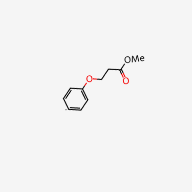 COC(=O)CCOc1cc[c]cc1